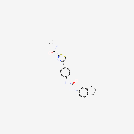 CC(C)C(NC(=O)c1nc(-c2ccc(NC(=O)Nc3ccc4c(c3)CCC4)cc2)cs1)C(=O)O